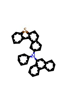 c1ccc(N(c2ccc3ccc4sc5ccccc5c4c3c2)c2cc3ccccc3c3ccccc23)cc1